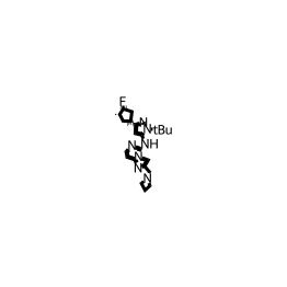 CC(C)(C)n1nc([C@@H]2C[CH][C@@H](F)C2)cc1Nc1nccc2nc(CN3CCC3)cn12